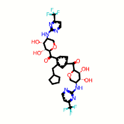 O=C(c1ccc(C(=O)C2OC[C@H](Nc3nccc(C(F)(F)F)n3)[C@@H](O)[C@H]2O)c(CC2CCCC2)c1)C1OC[C@H](Nc2nccc(C(F)(F)F)n2)[C@@H](O)[C@H]1O